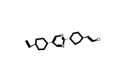 C=C[C@H]1CC[C@H](c2cnc([C@H]3CC[C@H](/C=C/Cl)CC3)nc2)CC1